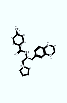 O=C(N[C@@H](Cc1ccc2c(c1)OCCO2)CN1CCCC1)C1CCC(C(F)(F)F)CC1